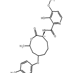 COc1ccnc(C(=O)N[C@H]2CCCC(Oc3ccc(C)cc3)CC(C)OC2=O)c1O